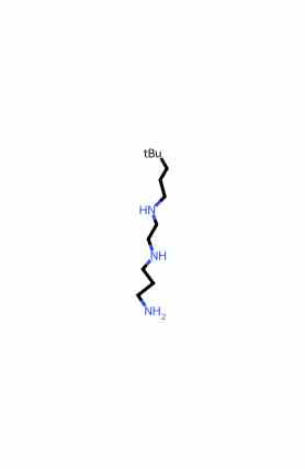 CC(C)(C)CCCNCCNCCCN